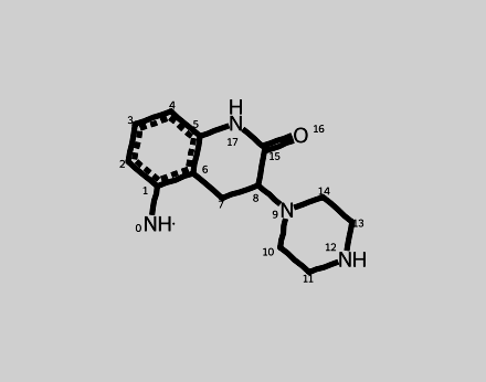 [NH]c1cccc2c1CC(N1CCNCC1)C(=O)N2